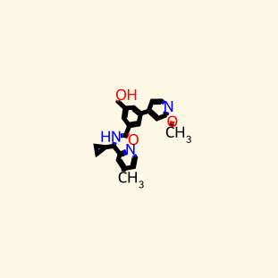 COc1cc(-c2cc(CO)cc(C(=O)NC(c3cc(C)ccn3)C3CC3)c2)ccn1